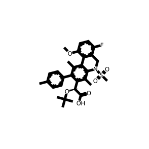 COc1ccc(F)c2c1-c1c(C)c(-c3ccc(C)cc3)c([C@H](OC(C)(C)C)C(=O)O)c(C)c1N(S(C)(=O)=O)C2